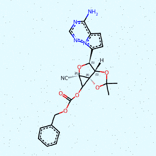 CC1(C)O[C@H]2[C@H](c3ccc4c(N)ncnn34)O[C@]3(C#N)C(OC(=O)OCc4ccccc4)[C@]23O1